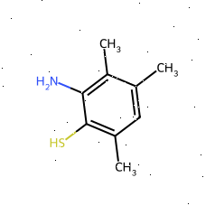 Cc1cc(C)c(S)c(N)c1C